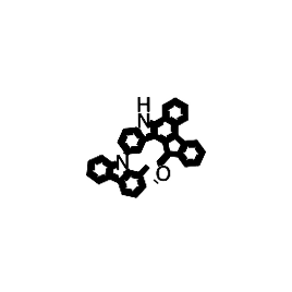 CO/C=C1\c2ccccc2-c2c1c1c3cc(-n4c5ccccc5c5cccc(C)c54)ccc3[nH]c1c1ccccc21